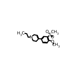 CCCN1CC=C(c2ccc(OC)c(S(C)(=O)=O)c2)CC1